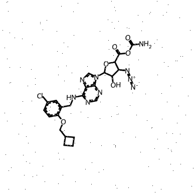 [N-]=[N+]=NC1C(C(=O)OC(N)=O)OC(n2cnc3c(NCc4cc(Cl)ccc4OCC4CCC4)ncnc32)C1O